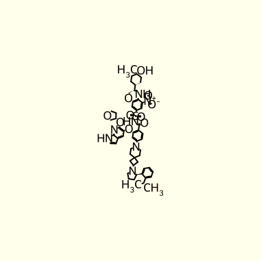 CC(C)c1ccccc1[C@H]1CCCN1C1CC2(CCN(c3ccc(C(=O)NS(=O)(=O)c4cc5c(c([N+](=O)[O-])c4)N[C@@H]([C@H]4CC[C@](C)(O)CC4)CO5)c(Oc4cc5cc[nH]c5nc4O[C@@H]4CCOC4)c3)CC2)C1